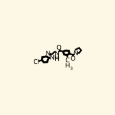 Cc1cc(C(=O)NCc2nc3cc(Cl)ccc3[nH]2)ccc1C(=O)N1CCCC1